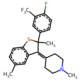 Cc1ccc2c(c1)C(=C1CCN(C)CC1)C(C)(c1ccc(F)c(C(F)(F)F)c1)S2